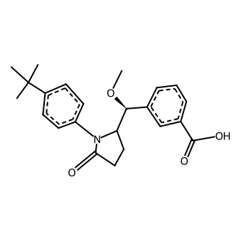 CO[C@@H](c1cccc(C(=O)O)c1)C1CCC(=O)N1c1ccc(C(C)(C)C)cc1